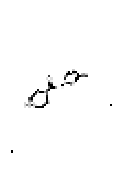 Cc1[c]cn(CC(=O)N2CCNCC2)n1